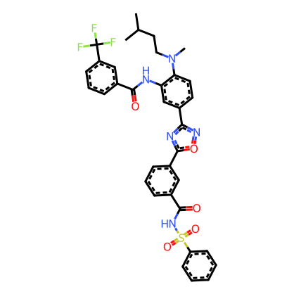 CC(C)CCN(C)c1ccc(-c2noc(-c3cccc(C(=O)NS(=O)(=O)c4ccccc4)c3)n2)cc1NC(=O)c1cccc(C(F)(F)F)c1